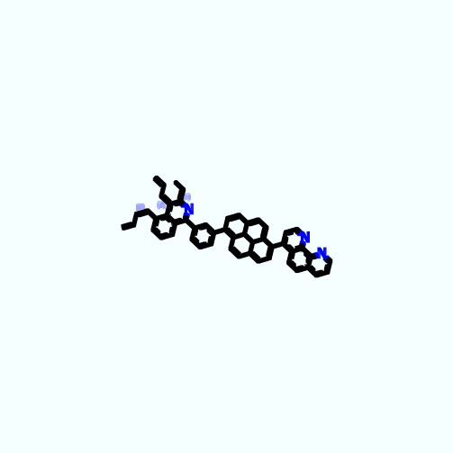 C=C/C=C\c1cccc2c(-c3cccc(C4=C5C=CC6=CC=C(c7ccnc8c7ccc7cccnc78)C7=CC=C(C=C4)C5C67)c3)nc(=C/C)/c(=C\C=C)c12